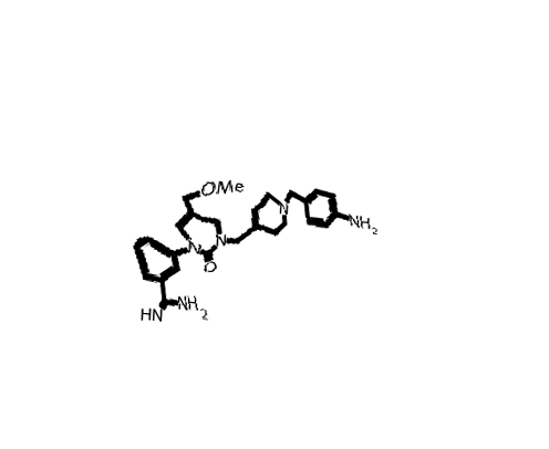 COCC1CN(CC2CCN(Cc3ccc(N)cc3)CC2)C(=O)N(c2cccc(C(=N)N)c2)C1